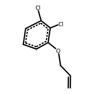 C=CCOc1[c]ccc(Cl)c1Cl